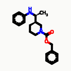 C[C@@H](Nc1ccccc1)[C@@H]1CCCN(C(=O)OCc2ccccc2)C1